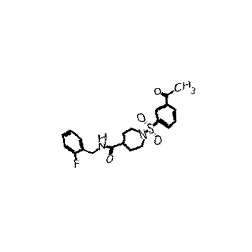 CC(=O)c1cccc(S(=O)(=O)N2CCC(C(=O)NCc3ccccc3F)CC2)c1